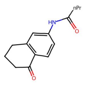 CCCC(=O)Nc1ccc2c(c1)CCCC2=O